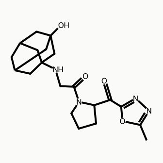 Cc1nnc(C(=O)C2CCCN2C(=O)CNC23CC4CC(CC(O)(C4)C2)C3)o1